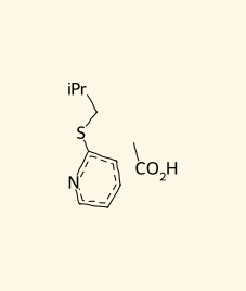 CC(=O)O.CC(C)CSc1ccccn1